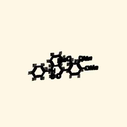 COc1ccc(C(=O)c2ccccc2[PH](=O)c2ccccc2)c(OC)c1OC